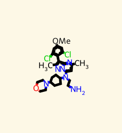 COc1cc(Cl)c(-c2c(C)nn3c(N(CCN)C4CCC(N5CCOCC5)CC4)cc(C)nc23)c(Cl)c1